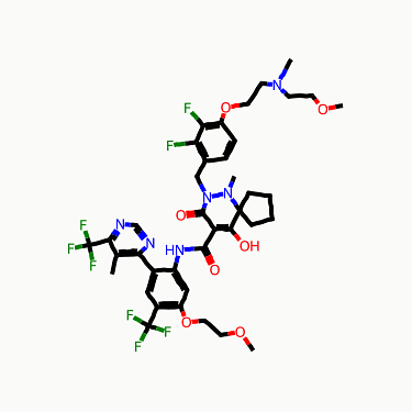 COCCOc1cc(NC(=O)C2=C(O)C3(CCCC3)N(C)N(Cc3ccc(OCCN(C)CCOC)c(F)c3F)C2=O)c(-c2ncnc(C(F)(F)F)c2C)cc1C(F)(F)F